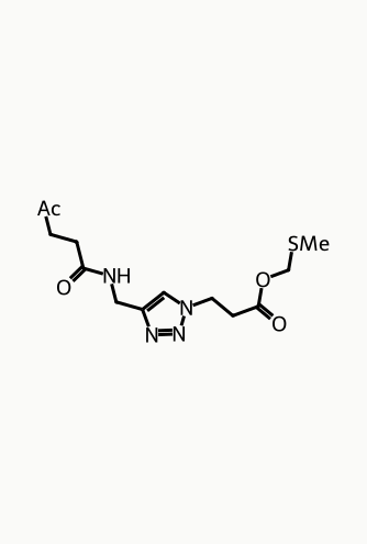 CSCOC(=O)CCn1cc(CNC(=O)CCC(C)=O)nn1